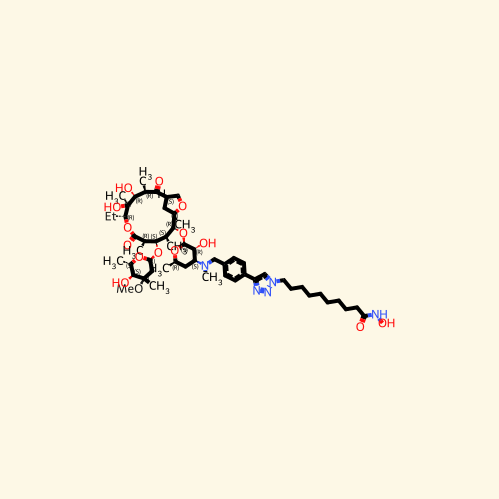 CC[C@H]1OC(=O)[C@H](C)[C@@H](O[C@H]2C[C@@](C)(OC)[C@@H](O)[C@H](C)O2)[C@H](C)[C@@H](O[C@@H]2O[C@H](C)C[C@H](N(C)Cc3ccc(-c4cn(CCCCCCCCCC(=O)NO)nn4)cc3)[C@H]2O)[C@@]2(C)C[C@@H](CO2)C(=O)[C@H](C)[C@@H](O)[C@]1(C)O